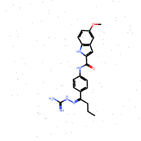 CCC/C(=N/NC(=N)N)c1ccc(NC(=O)c2cc3cc(OC)ccc3[nH]2)cc1